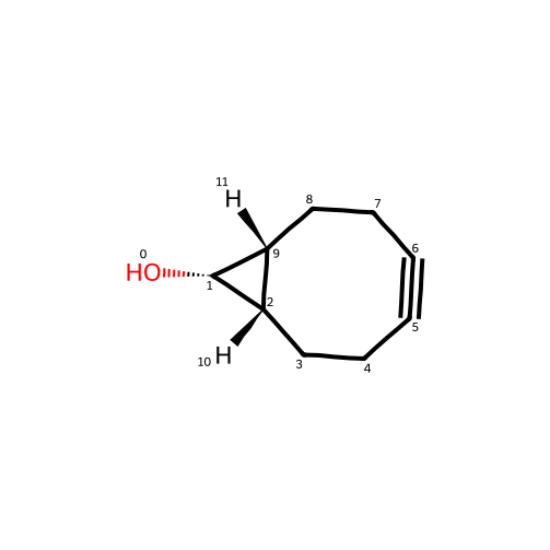 O[C@H]1[C@H]2CCC#CCC[C@@H]12